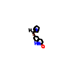 CN1C2CCC1CC(Sc1ccc3[nH]c(=O)ccc3c1)C2